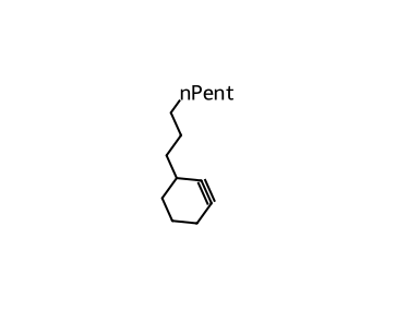 CCCCCCCCC1C#CCCC1